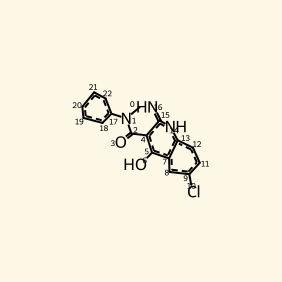 CN(C(=O)c1c(O)c2cc(Cl)ccc2[nH]c1=N)c1ccccc1